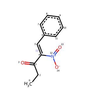 CCC(=O)/C(=C/c1ccccc1)[N+](=O)[O-]